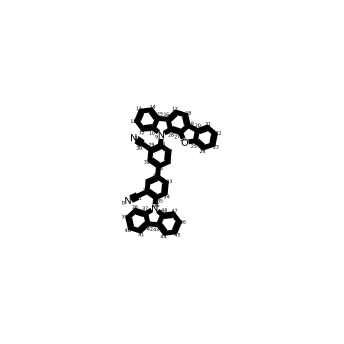 N#Cc1cc(-c2ccc(-n3c4ccccc4c4ccc5c6ccccc6oc5c43)c(C#N)c2)ccc1-n1c2ccccc2c2ccccc21